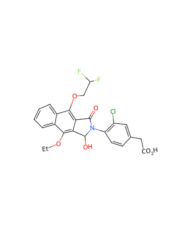 CCOc1c2c(c(OCC(F)F)c3ccccc13)C(=O)N(c1ccc(CC(=O)O)cc1Cl)C2O